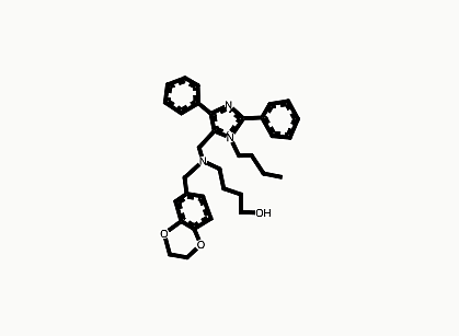 CCCCn1c(-c2ccccc2)nc(-c2ccccc2)c1CN(CCCCO)Cc1ccc2c(c1)OCCO2